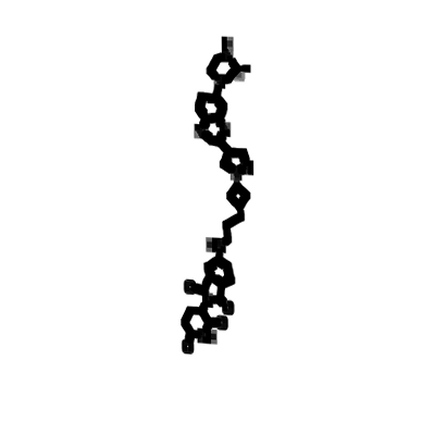 C[C@H]1CN(c2ccc3ncc(-c4cnn([C@H]5C[C@H](CCCNc6ccc7c(c6)C(=O)N(C6CCC(=O)NC6=O)C7=O)C5)c4)nc3c2)CCN1